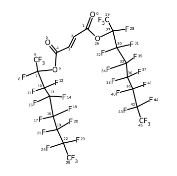 O=C(C=CC(=O)OC(F)(C(F)(F)F)C(F)(F)C(F)(F)C(F)(F)C(F)(F)C(F)(F)C(F)(F)F)OC(F)(C(F)(F)F)C(F)(F)C(F)(F)C(F)(F)C(F)(F)C(F)(F)C(F)(F)F